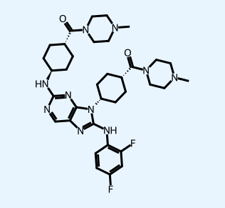 CN1CCN(C(=O)[C@H]2CC[C@H](Nc3ncc4nc(Nc5ccc(F)cc5F)n([C@H]5CC[C@@H](C(=O)N6CCN(C)CC6)CC5)c4n3)CC2)CC1